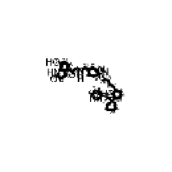 O=C(O[C@H]1CN2CCC1CC2)C1(c2cccc(CCCCn3nnc4cc(CNCC(O)c5ccc(O)c6[nH]c(=O)ccc56)ccc43)c2)CCCCC1